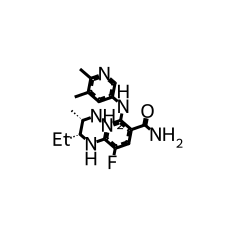 CC[C@@H](Nc1nc(Nc2cnc(C)c(C)c2)c(C(N)=O)cc1F)[C@H](C)N